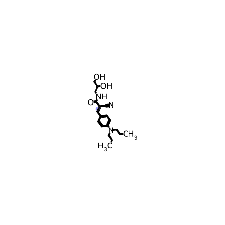 CCCN(CCC)c1ccc(/C=C(\C#N)C(=O)NCC(O)CO)cc1